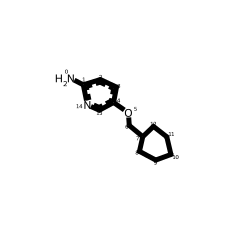 Nc1ccc(OCC2CCCCC2)cn1